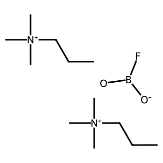 CCC[N+](C)(C)C.CCC[N+](C)(C)C.[O-]B([O-])F